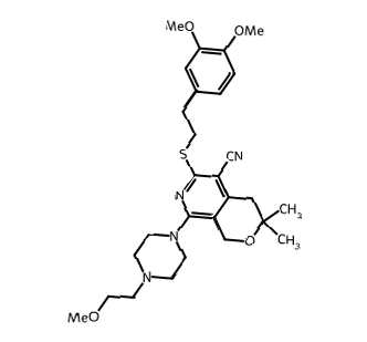 COCCN1CCN(c2nc(SCCc3ccc(OC)c(OC)c3)c(C#N)c3c2COC(C)(C)C3)CC1